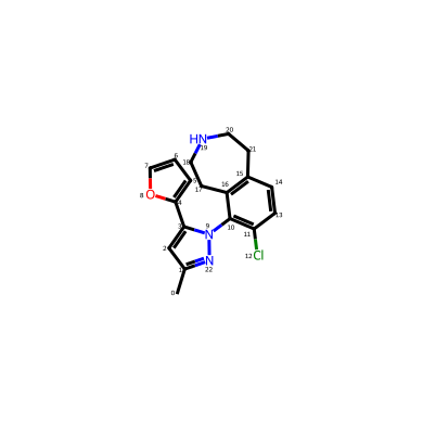 Cc1cc(-c2ccco2)n(-c2c(Cl)ccc3c2CCNCC3)n1